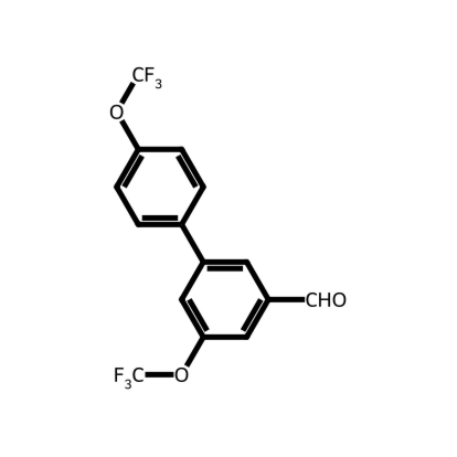 O=Cc1cc(OC(F)(F)F)cc(-c2ccc(OC(F)(F)F)cc2)c1